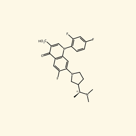 C[C@@H](C1CCN(c2cc3c(cc2F)c(=O)c(C(=O)O)cn3-c2ccc(F)cc2F)C1)N(C)C